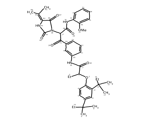 CCC(Oc1ccc(C(C)(C)CC)cc1C(C)(C)CC)C(=O)Nc1cccc(C(=O)C(C(=O)Nc2ccccc2OC)N2C(=O)NC(=C(C)C)C2=O)c1